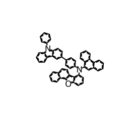 c1ccc(-n2c3ccccc3c3cc(-c4ccc(N(c5cc6ccccc6c6ccccc56)c5cccc6oc7c8ccccc8ccc7c56)cc4)ccc32)cc1